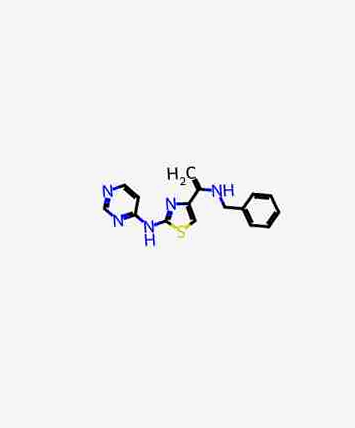 C=C(NCc1ccccc1)c1csc(Nc2ccncn2)n1